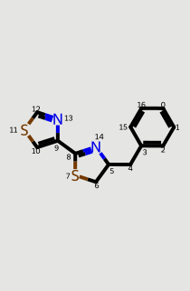 c1ccc(CC2CSC(c3cscn3)=N2)cc1